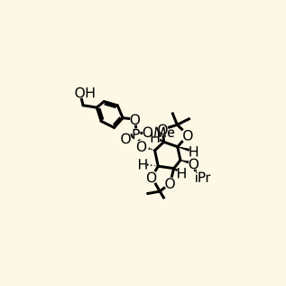 COP(=O)(Oc1ccc(CO)cc1)O[C@@H]1[C@@H]2OC(C)(C)O[C@@H]2[C@@H](OC(C)C)[C@@H]2OC(C)(C)O[C@H]21